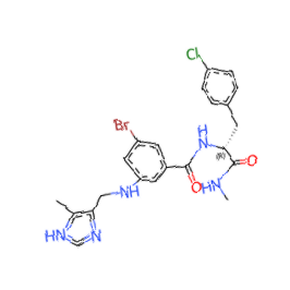 CNC(=O)[C@@H](Cc1ccc(Cl)cc1)NC(=O)c1cc(Br)cc(NCc2nc[nH]c2C)c1